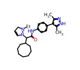 CCN1CC=CN1C(C(=O)Nc1ccc(-c2c(C)n[nH]c2C)cc1)C1CCCCCCC1